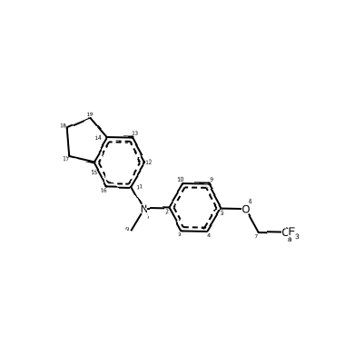 CN(c1ccc(OCC(F)(F)F)cc1)c1ccc2c(c1)CCC2